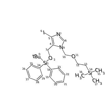 CC(C)(C)[Si](OCc1c(I)ncn1COCC[Si](C)(C)C)(c1ccccc1)c1ccccc1